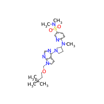 CN(c1ccc(S(=O)(=O)N(C)C)cn1)C1CCN(c2ncnc3c2ccn3COCC[Si](C)(C)C)C1